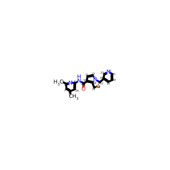 Cc1cc(C)nc(NC(=O)c2ccn3c2CSC3c2cccnc2)c1